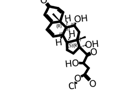 C[C@]12C=CC(=O)C=C1C=C[C@@H]1[C@@H]2[C@@H](O)C[C@@]2(C)[C@H]1CC[C@]2(O)C(=O)C(O)CC(=O)OCl